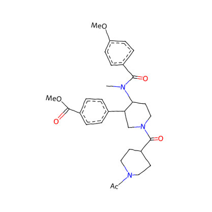 COC(=O)c1ccc(C2CN(C(=O)C3CCN(C(C)=O)CC3)CCC2N(C)C(=O)c2ccc(OC)cc2)cc1